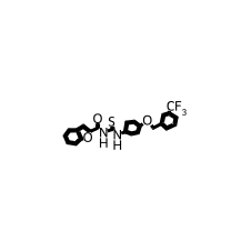 O=C(NC(=S)Nc1ccc(OCc2cccc(C(F)(F)F)c2)cc1)c1cc2ccccc2o1